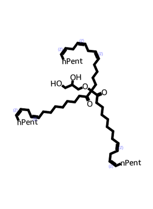 CCCCC/C=C\C/C=C\C/C=C\CCCCC(OCC(O)CO)(C(=O)CCCCCCC/C=C\C/C=C\CCCCC)C(=O)CCCCCCC/C=C\C/C=C\CCCCC